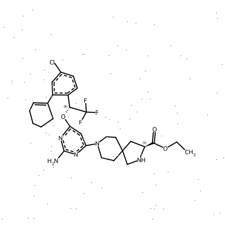 CCOC(=O)[C@@H]1CC2(CCN(c3cc(O[C@H](c4ccc(Cl)cc4C4=CCCCC4)C(F)(F)F)nc(N)n3)CC2)CN1